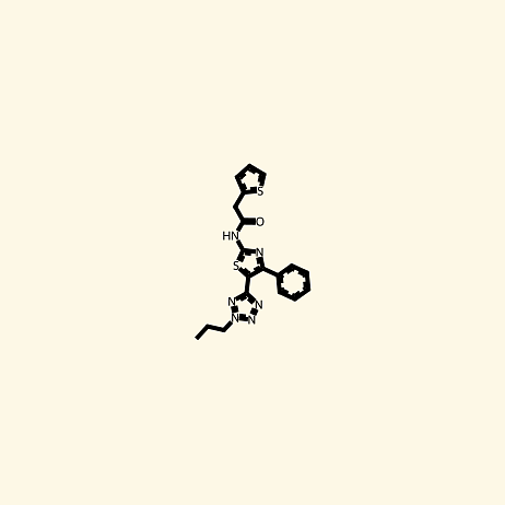 CCCn1nnc(-c2sc(NC(=O)Cc3cccs3)nc2-c2ccccc2)n1